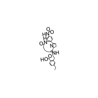 CCc1ccc(C(=O)O)c(CCN[C@H]2CCCCC(=O)Nc3cc(NC(=O)OC)ccc3C3=CCC2=N3)c1